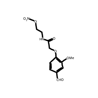 COc1cc(C=O)ccc1OCC(=O)NCCO[N+](=O)[O-]